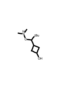 C[SiH](C)OC(C1CC(O)C1)C(C)(C)C